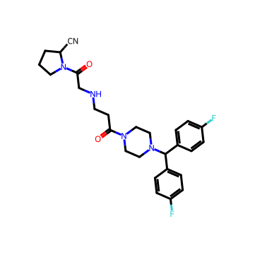 N#CC1CCCN1C(=O)CNCCC(=O)N1CCN(C(c2ccc(F)cc2)c2ccc(F)cc2)CC1